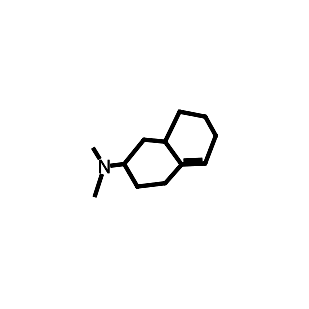 CN(C)C1CCC2=CCCCC2C1